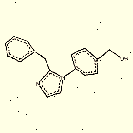 OCc1ccc(-n2ccnc2Cc2ccccc2)cc1